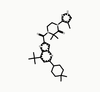 Cc1c[nH]nc1N1CCN(C(=O)c2cc3nc(C4CCC(C)(C)CC4)cc(C(C)(C)C)c3o2)C(C)(C)C1=O